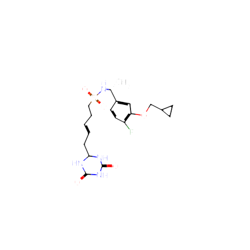 C[C@@H](NS(=O)(=O)CC/C=C/CC1NC(=O)NC(=O)N1)c1ccc(F)c(OCC2CC2)c1